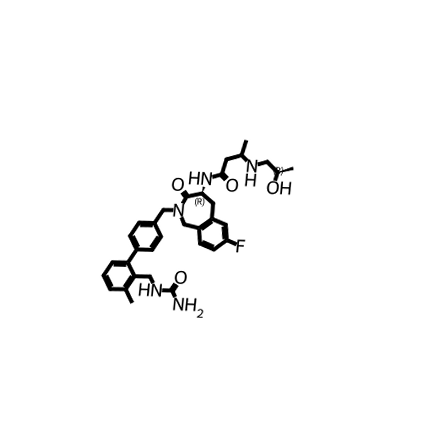 Cc1cccc(-c2ccc(CN3Cc4ccc(F)cc4C[C@@H](NC(=O)CC(C)NC[C@@H](C)O)C3=O)cc2)c1CNC(N)=O